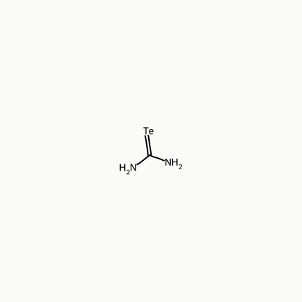 NC(N)=[Te]